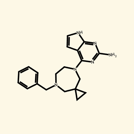 Nc1nc(N2CCN(Cc3ccccc3)CC3(CC3)C2)c2cc[nH]c2n1